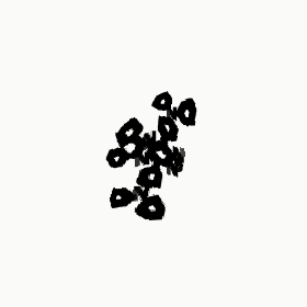 C1=CCC(c2nc3c(-c4ccc(N(c5ccccc5)c5ccccc5)cc4)c4nsnc4c(-c4ccc(N(c5ccccc5)c5ccccc5)cc4)c3nc2C2C=CC=CC2)C=C1